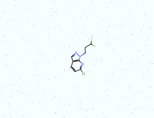 FC(F)CCn1ncc2ccc(Cl)nc21